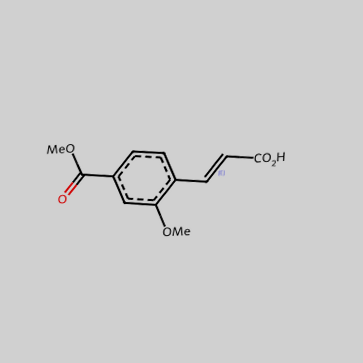 COC(=O)c1ccc(/C=C/C(=O)O)c(OC)c1